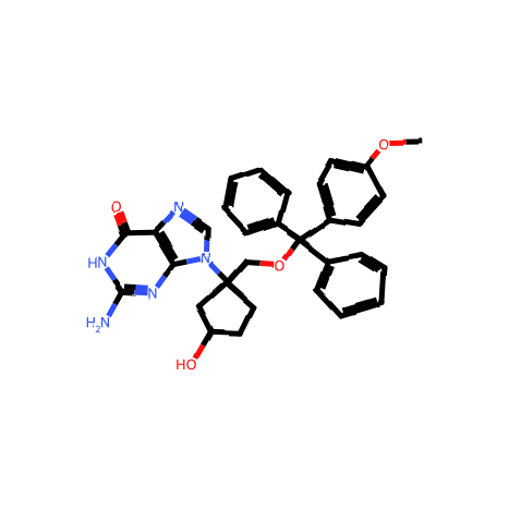 COc1ccc(C(OCC2(n3cnc4c(=O)[nH]c(N)nc43)CCC(O)C2)(c2ccccc2)c2ccccc2)cc1